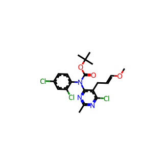 CO/C=C/Cc1c(Cl)nc(C)nc1N(C(=O)OC(C)(C)C)c1ccc(Cl)cc1Cl